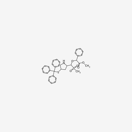 COC(=O)C(OC(C1CC(SC(c2ccccc2)(c2ccccc2)c2ccccc2)CN1)S(C)(=O)=O)c1ccccc1